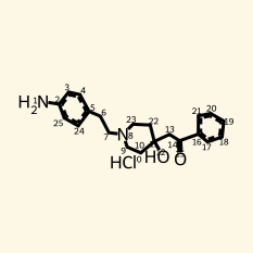 Cl.Nc1ccc(CCN2CCC(O)(CC(=O)c3ccccc3)CC2)cc1